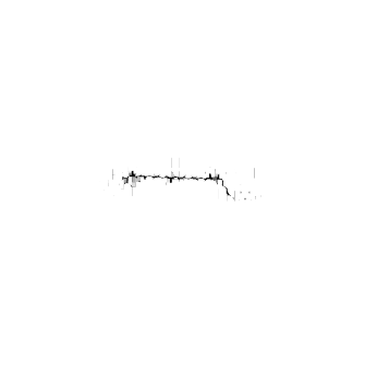 CNCCCCC(NC(=O)COCCOCCNC(=O)COCCOCCNC(=O)C(NC(=O)O)C(C)C)C(=O)O